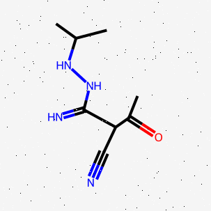 CC(=O)C(C#N)C(=N)NNC(C)C